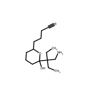 CCC(CC)(CN)C1(O)CCCC(CCCC#N)O1